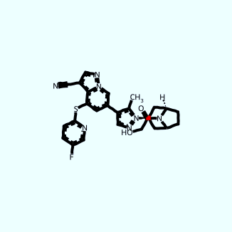 Cc1c(-c2cc(Sc3ccc(F)cn3)c3c(C#N)cnn3c2)cnn1[C@@H]1CC2CC[C@H](C1)N2C(=O)CO